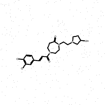 O=C(C=Cc1ccc(Cl)c(Cl)c1)N1CCC(=O)N(CCN2CCC(O)C2)CC1